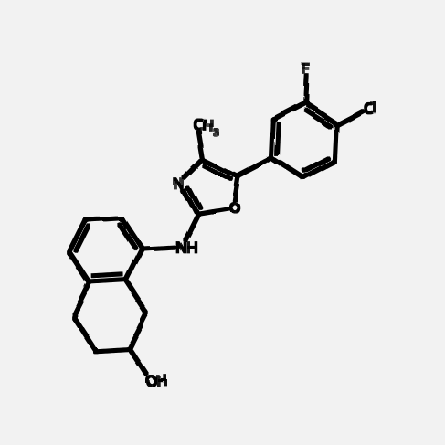 Cc1nc(Nc2cccc3c2CC(O)CC3)oc1-c1ccc(Cl)c(F)c1